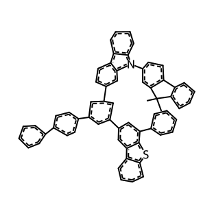 CC1(C)c2ccccc2-c2ccc(-n3c4ccccc4c4ccc(-c5cc(-c6ccc(-c7ccccc7)cc6)cc(-c6cc(-c7ccccc7)c7sc8ccccc8c7c6)c5)cc43)cc21